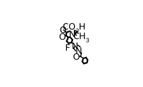 CC1(n2cc(OC(=O)O)c(=O)c3cc(F)c(N4CCN(CC(=O)c5ccccc5)CC4)cc32)CC1